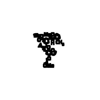 COCCCOc1cc(CN(C(=O)[C@@H]2C[C@H](C(=O)Nc3c(C)cccc3OC)CN(C(=O)OC(C)(C)C)C2)C2CC2)cc2c1CCCO2